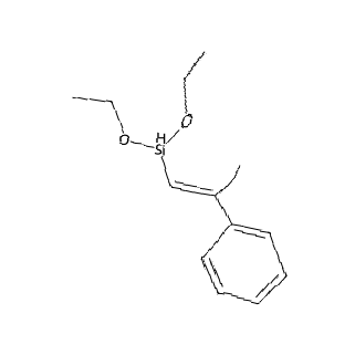 CCO[SiH](C=C(C)c1ccccc1)OCC